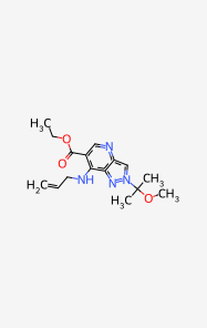 C=CCNc1c(C(=O)OCC)cnc2cn(C(C)(C)OC)nc12